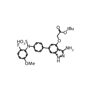 COc1ccc(F)c(N(c2ccc(-c3cc(OCC(=O)OC(C)(C)C)c4c(N)n[nH]c4c3)cc2)S(=O)(=O)O)c1